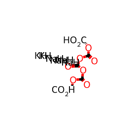 O=C(O)OC(=O)OC(=O)OC(=O)OC(=O)O.[KH].[KH].[NaH].[NaH].[NaH].[NaH]